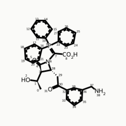 C[C@@H](O)[C@H]1C(=O)N(C(C(=O)O)=P(c2ccccc2)(c2ccccc2)c2ccccc2)[C@@H]1CC(=O)c1cccc(CN)c1